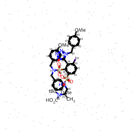 COc1ccc(CN(Cc2ccc(OC)cc2)S(=O)(=O)c2c(S(=O)(=O)NC[C@@H](C)N(C(=O)O)C(C)(C)C)ccc(I)c2-c2nnnn2Cc2ccc(OC)cc2)cc1